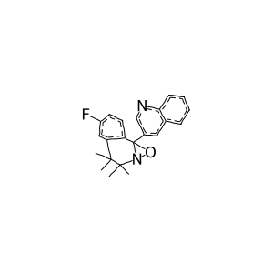 CC1(C)c2cc(F)ccc2C2(c3cnc4ccccc4c3)ON2C1(C)C